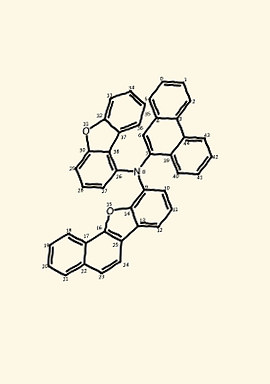 c1ccc2c(c1)cc(N(c1cccc3c1oc1c4ccccc4ccc31)c1cccc3oc4ccccc4c13)c1ccccc12